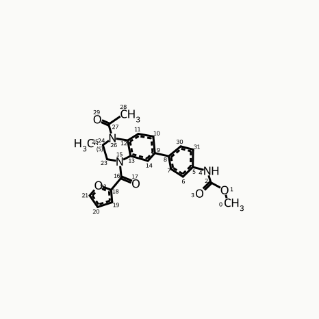 COC(=O)Nc1ccc(-c2ccc3c(c2)N(C(=O)c2ccco2)C[C@H](C)N3C(C)=O)cc1